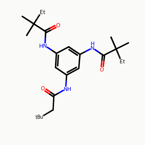 CCC(C)(C)C(=O)Nc1cc(NC(=O)CC(C)(C)C)cc(NC(=O)C(C)(C)CC)c1